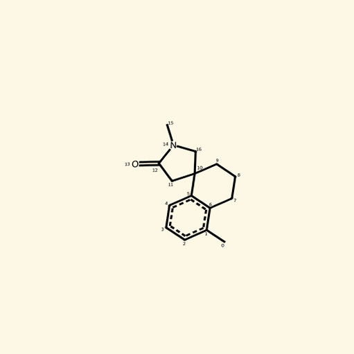 Cc1cccc2c1CCCC21CC(=O)N(C)C1